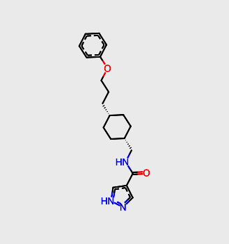 O=C(NC[C@H]1CC[C@@H](CCCOc2ccccc2)CC1)c1cn[nH]c1